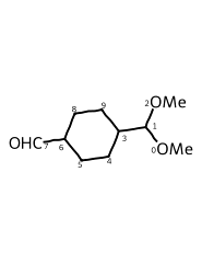 COC(OC)C1CCC(C=O)CC1